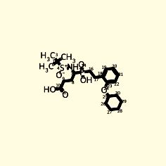 CC(C)(C)[S@+]([O-])NC(CCC(=O)O)P(=O)(O)CCc1ccccc1OC1CCCCC1